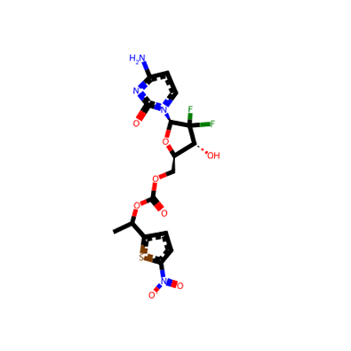 CC(OC(=O)OC[C@H]1O[C@@H](n2ccc(N)nc2=O)C(F)(F)[C@@H]1O)c1ccc([N+](=O)[O-])s1